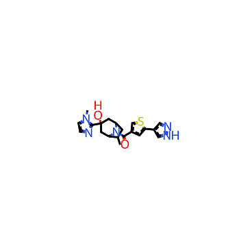 CC1CC2CC(O)(c3nccn3C)CC1N2C(=O)c1csc(-c2cn[nH]c2)c1